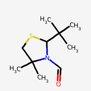 CC(C)(C)C1SCC(C)(C)N1C=O